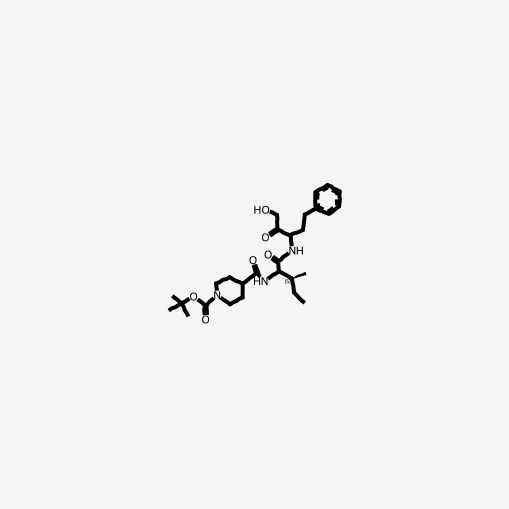 CC[C@H](C)C(NC(=O)C1CCN(C(=O)OC(C)(C)C)CC1)C(=O)NC(CCc1ccccc1)C(=O)CO